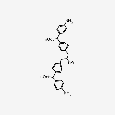 CCCCCCCCC(c1ccc(N)cc1)c1ccc(CC(CCC)Cc2ccc(C(CCCCCCCC)c3ccc(N)cc3)cc2)cc1